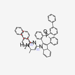 CC(/C=C(\N=C(/N)c1ccccc1)N1C2=C(c3ccccc3P(=O)(c3cccc(-c4ccccc4)c3)c3ccccc32)C2C=CC=CC21)c1ccc(-c2ccccc2)cc1